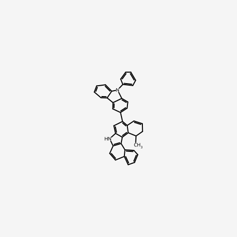 CC1CC=Cc2c(-c3ccc4c(c3)c3ccccc3n4-c3ccccc3)cc3[nH]c4ccc5ccccc5c4c3c21